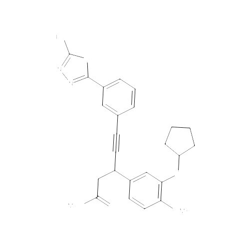 COC(=O)CC(C#Cc1cccc(-c2nnc(C)o2)c1)c1ccc(OC)c(OC2CCCC2)c1